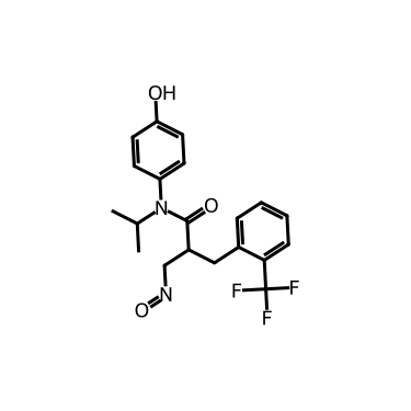 CC(C)N(C(=O)C(CN=O)Cc1ccccc1C(F)(F)F)c1ccc(O)cc1